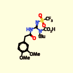 COc1ccc(CC(=O)N/C(=N/S(=O)(=O)C(F)(F)F)N(C(=O)O)C(C)(C)C)cc1OC